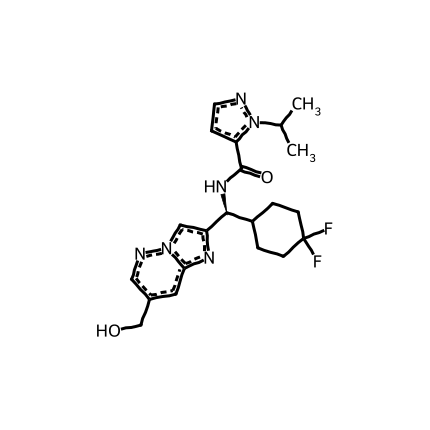 CC(C)n1nccc1C(=O)N[C@H](c1cn2ncc(CO)cc2n1)C1CCC(F)(F)CC1